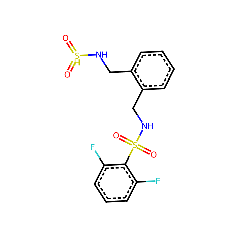 O=[SH](=O)NCc1ccccc1CNS(=O)(=O)c1c(F)cccc1F